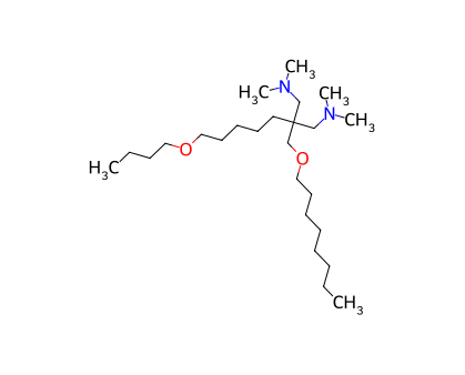 CCCCCCCCOCC(CCCCCOCCCC)(CN(C)C)CN(C)C